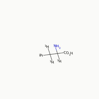 [2H]C(N)(C(=O)O)C([2H])([2H])C(C)C